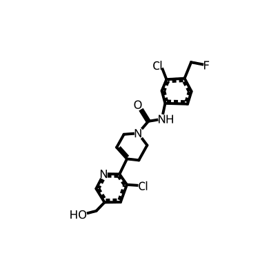 O=C(Nc1ccc(CF)c(Cl)c1)N1CC=C(c2ncc(CO)cc2Cl)CC1